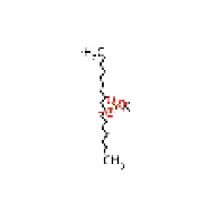 O=[S-](=O)O.[CH2]CCCCCCCCCCCCCCCCC.[K+]